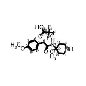 COc1ccc(CC(=O)NC2(C)CCNCC2)cc1.O=C(O)C(F)(F)F